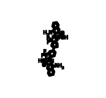 Nc1c(/N=N/c2ccc(-c3ccc(/N=N/c4c(S(=O)(=O)O)cc5ccccc5c4N)c(C(F)(F)F)c3)cc2C(F)(F)F)c(S(=O)(=O)O)cc2ccccc12